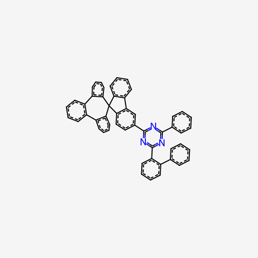 c1ccc(-c2nc(-c3ccc4c(c3)-c3ccccc3C43c4ccccc4-c4ccccc4-c4ccccc43)nc(-c3ccccc3-c3ccccc3)n2)cc1